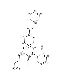 COCC/C=C1/OC2(CCN(CCc3ccccc3)CC2)CN(c2ccccc2F)C1=O